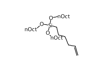 C=CCCCC[Si](OCCCCCCCC)(OCCCCCCCC)OCCCCCCCC